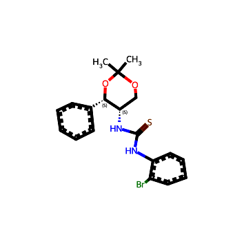 CC1(C)OC[C@H](NC(=S)Nc2ccccc2Br)[C@H](c2ccccc2)O1